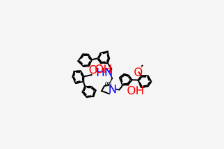 COc1ccccc1-c1cccc(CN2CCC[C@H]2CNCc2cccc(-c3ccccc3OCc3ccccc3-c3ccccc3)c2O)c1O